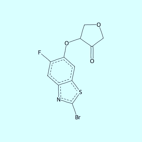 O=C1COCC1Oc1cc2sc(Br)nc2cc1F